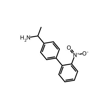 CC(N)c1ccc(-c2ccccc2[N+](=O)[O-])cc1